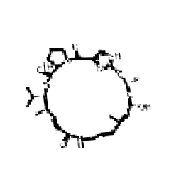 CC1=C\[C@@H](O)C[C@@H](F)Cc2nc(c[nH]2)C(=O)N2CCC[C@@H]2C(=O)O[C@H](C(C)C)[C@H](C)/C=C/C(=O)NC\C=C\1